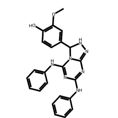 COc1cc(C2NN=C3N=C(Nc4ccccc4)N=C(Nc4ccccc4)N32)ccc1O